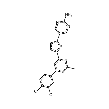 Cc1cc(-c2ccc(Cl)c(Cl)c2)cc(-c2ccc(-c3cnc(N)nc3)s2)n1